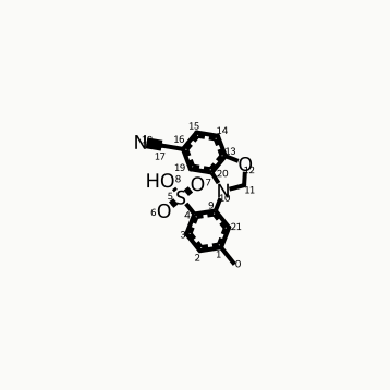 Cc1ccc(S(=O)(=O)O)c(N2COc3ccc(C#N)cc32)c1